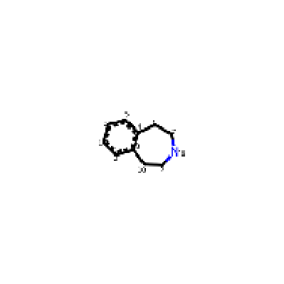 [c]1ccc2c(c1)CC[N]CC2